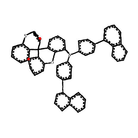 c1ccc2c(c1)Oc1c(N(c3ccc(-c4cccc5ccccc45)cc3)c3ccc(-c4cccc5ccccc45)cc3)cccc1C21c2ccccc2Sc2ccccc21